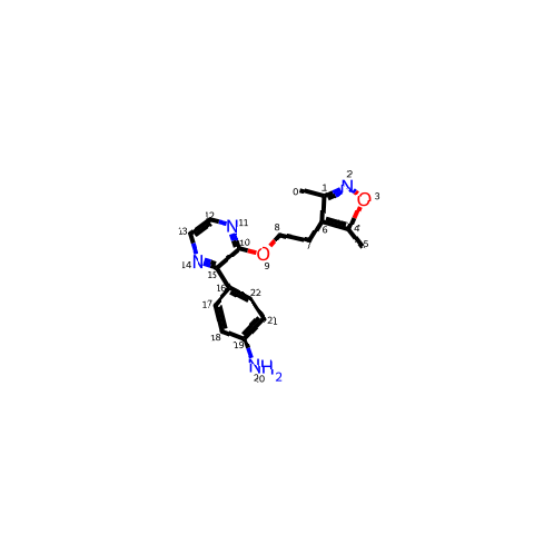 Cc1noc(C)c1CCOc1nccnc1-c1ccc(N)cc1